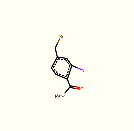 COC(=O)c1ccc(CBr)cc1I